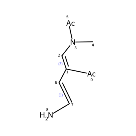 CC(=O)C(=C\N(C)C(C)=O)/C=C/N